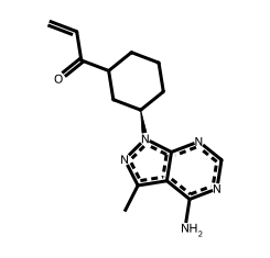 C=CC(=O)C1CCC[C@@H](n2nc(C)c3c(N)ncnc32)C1